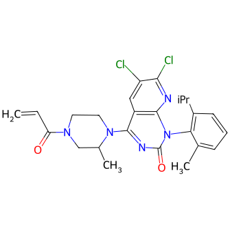 C=CC(=O)N1CCN(c2nc(=O)n(-c3c(C)cccc3C(C)C)c3nc(Cl)c(Cl)cc23)C(C)C1